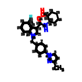 Cc1ccn(-c2ccc(Cn3cc(C(=O)N[C@H]4CCCC[C@@H]4O)c4c(F)cccc43)cc2)n1